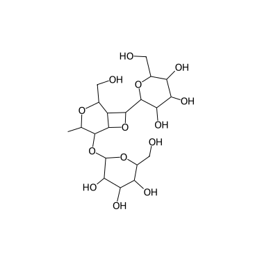 CC1OC(CO)C2C(OC2C2OC(CO)C(O)C(O)C2O)C1OC1OC(CO)C(O)C(O)C1O